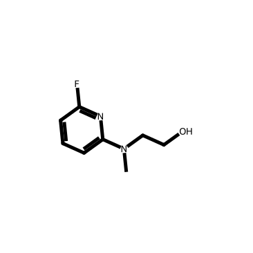 CN(CCO)c1cccc(F)n1